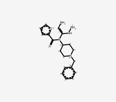 N/C=C(\NN)N(C(=O)c1cccs1)C1CCN(Cc2ccccc2)CC1